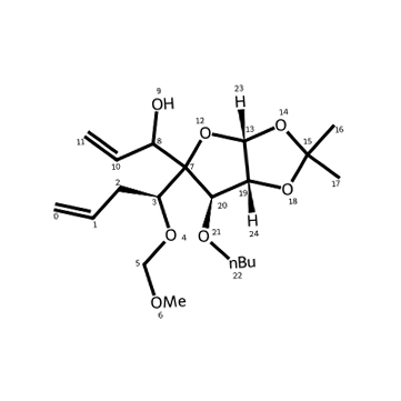 C=CC[C@H](OCOC)C1(C(O)C=C)O[C@@H]2OC(C)(C)O[C@@H]2[C@H]1OCCCC